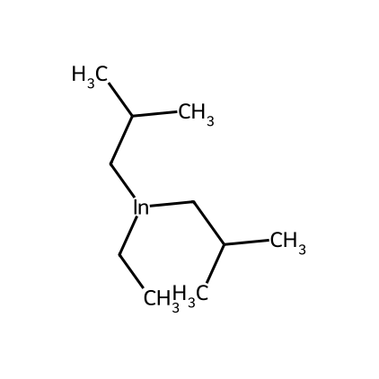 C[CH2][In]([CH2]C(C)C)[CH2]C(C)C